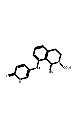 CC(C)(C)C1c2c(cccc2Nc2ccc(=O)[nH]c2)CCN1C(=O)O